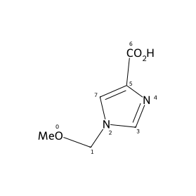 COCn1cnc(C(=O)O)c1